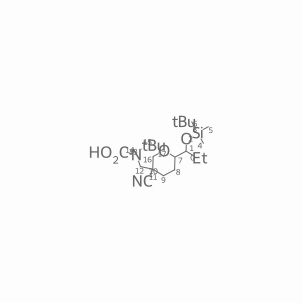 CCC(O[Si](C)(C)C(C)(C)C)C1CCC(C#N)(CN(C(=O)O)C(C)(C)C)CO1